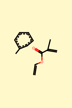 C=COC(=O)C(=C)C.Cc1ccccc1